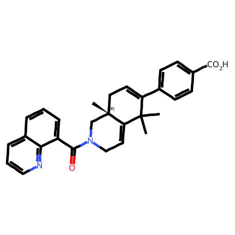 CC1(C)C(c2ccc(C(=O)O)cc2)=CC[C@@]2(C)CN(C(=O)c3cccc4cccnc34)CC=C12